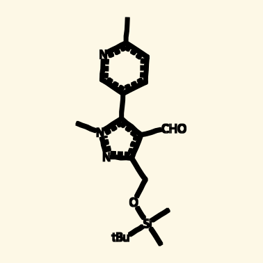 Cc1ccc(-c2c(C=O)c(CO[Si](C)(C)C(C)(C)C)nn2C)cn1